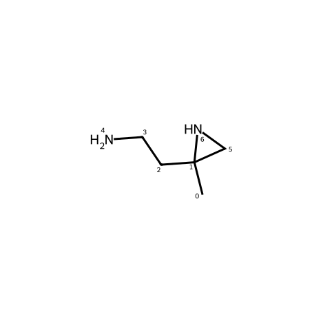 CC1(CCN)CN1